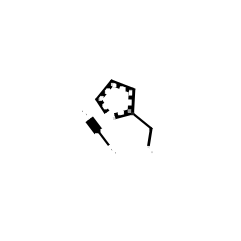 N#CN.OCc1ccco1